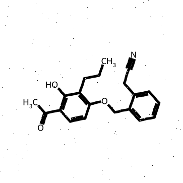 CCCc1c(OCc2ccccc2CC#N)ccc(C(C)=O)c1O